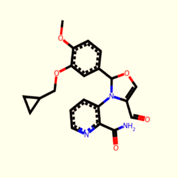 COc1ccc(C2OC=C(C=O)N2c2cccnc2C(N)=O)cc1OCC1CC1